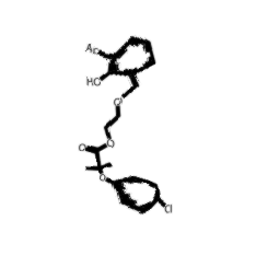 CC(=O)c1cccc(COCCOC(=O)C(C)(C)Oc2ccc(Cl)cc2)c1O